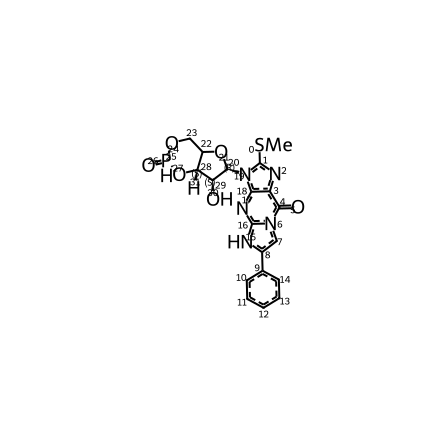 CSc1nc2c(=O)n3cc(-c4ccccc4)[nH]c3nc2n1[C@@H]1OC2CO[PH](=O)O[C@H]2[C@@H]1O